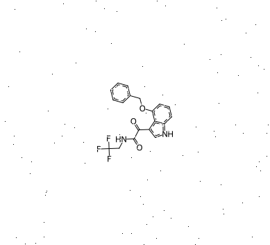 O=C(NCC(F)(F)F)C(=O)c1c[nH]c2cccc(OCc3ccccc3)c12